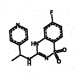 CC(NC1=NS(=O)(=O)c2ccc(F)cc2N1)c1ccncc1